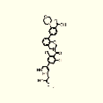 CC(O)CN/C=C(\C=N)c1cc(Cl)c(C(=O)N2COc3c(cccc3-c3ccc(C(=O)O)c(N4CCOCC4)c3)C2)c(Cl)c1